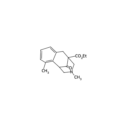 CCOC(=O)C12Cc3cccc(C)c3C(CN(C)C1)C2=O